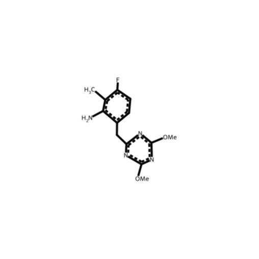 COc1nc(Cc2ccc(F)c(C)c2N)nc(OC)n1